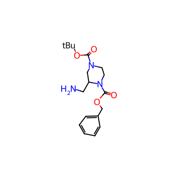 CC(C)(C)OC(=O)N1CCN(C(=O)OCc2ccccc2)C(CN)C1